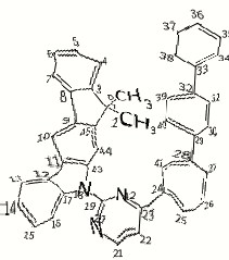 CC1(C)c2ccccc2-c2cc3c4ccccc4n(-c4nccc(-c5cccc(-c6ccc(C7=CC=CCC7)cc6)c5)n4)c3cc21